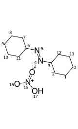 C1CCC(N=NC2CCCCC2)CC1.O=[N+]([O-])O